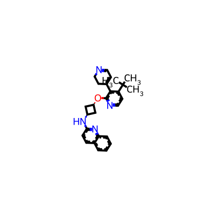 CC(C)(C)c1ccnc(O[C@H]2C[C@H](Nc3ccc4ccccc4n3)C2)c1C1=CC=NCC1